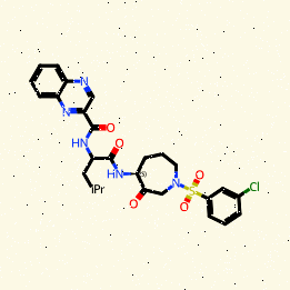 CC(C)CC(NC(=O)c1cnc2ccccc2n1)C(=O)N[C@H]1CCCN(S(=O)(=O)c2cccc(Cl)c2)CC1=O